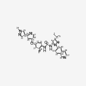 CC(C)c1cc(NC(=O)Nc2ccc(Oc3ccnc(-c4cnn(C)c4)c3)cc2F)n(-c2ccc3cnccc3c2)n1